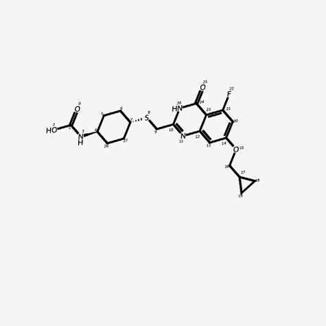 O=C(O)N[C@H]1CC[C@H](SCc2nc3cc(OCC4CC4)cc(F)c3c(=O)[nH]2)CC1